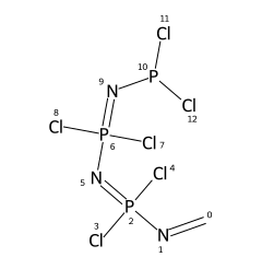 C=NP(Cl)(Cl)=NP(Cl)(Cl)=NP(Cl)Cl